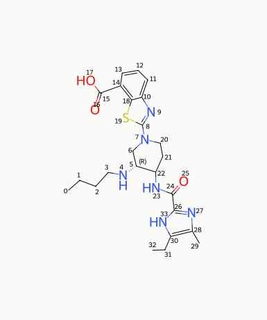 CCCCN[C@@H]1CN(c2nc3cccc(C(=O)O)c3s2)CCC1NC(=O)c1nc(C)c(CC)[nH]1